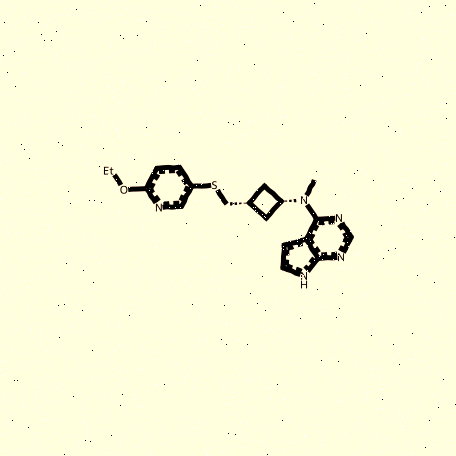 CCOc1ccc(SC[C@H]2C[C@@H](N(C)c3ncnc4[nH]ccc34)C2)cn1